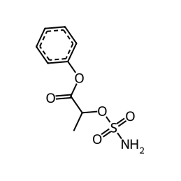 CC(OS(N)(=O)=O)C(=O)Oc1ccccc1